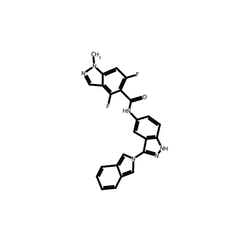 Cn1ncc2c(F)c(C(=O)Nc3ccc4[nH]nc(-n5cc6ccccc6c5)c4c3)c(F)cc21